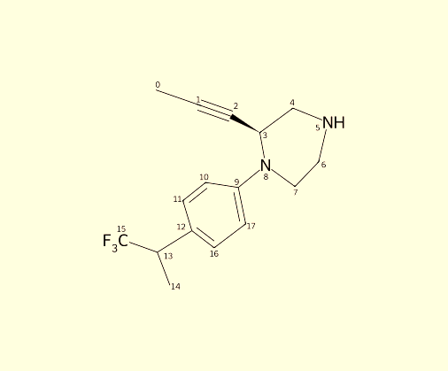 CC#C[C@H]1CNCCN1c1ccc(C(C)C(F)(F)F)cc1